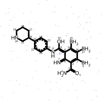 BC1=C(C(N)=O)C(=N)/C(=C(/O)Nc2ccc(C3CCCNC3)cc2)C(B)=C1B